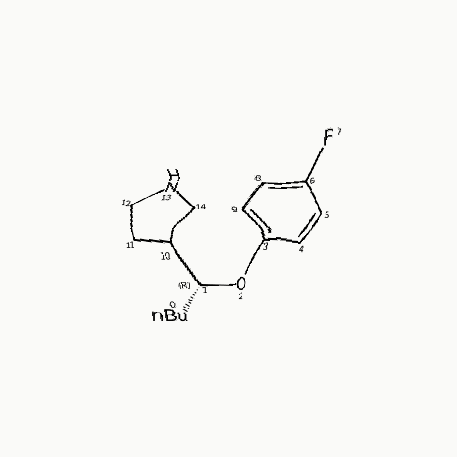 CCCC[C@@H](Oc1ccc(F)cc1)C1CCNC1